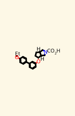 CCOc1ccc(-c2cccc(O[C@@H]3CC[C@@H]4CN(C(=O)O)C[C@@H]43)c2)cc1